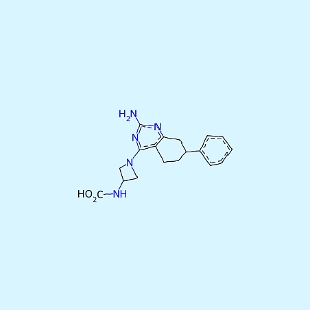 Nc1nc2c(c(N3CC(NC(=O)O)C3)n1)CCC(c1ccccc1)C2